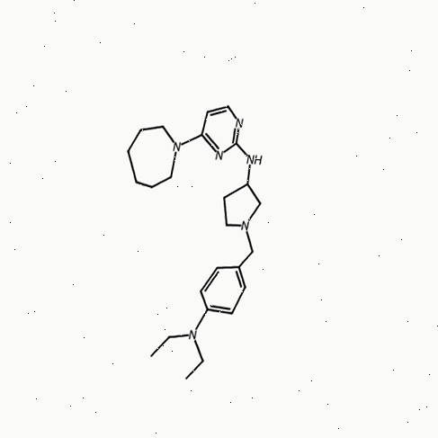 CCN(CC)c1ccc(CN2CCC(Nc3nccc(N4CCCCCC4)n3)C2)cc1